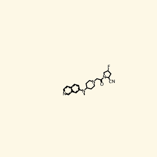 CN(c1ccc2ccncc2c1)C1CCN(CC(=O)N2C[C@@H](F)CC2C#N)CC1